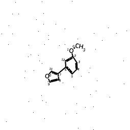 COc1cccc(-c2c[c]oc2)c1